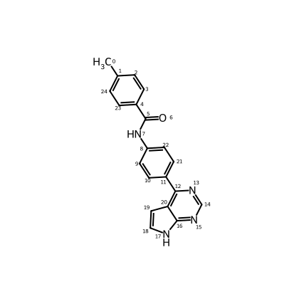 Cc1ccc(C(=O)Nc2ccc(-c3ncnc4[nH]ccc34)cc2)cc1